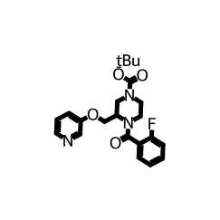 CC(C)(C)OC(=O)N1CCN(C(=O)c2ccccc2F)C(COc2cccnc2)C1